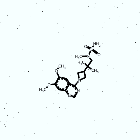 COc1cc2ncnc(N3CC(C(C)(C)CN(C)S(N)(=O)=O)C3)c2cc1OC